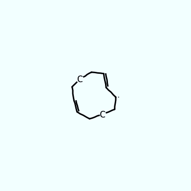 [CH]1/C=C/CCC/C=C\CCC1